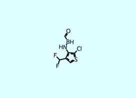 O=CBNc1c(C(F)F)csc1Cl